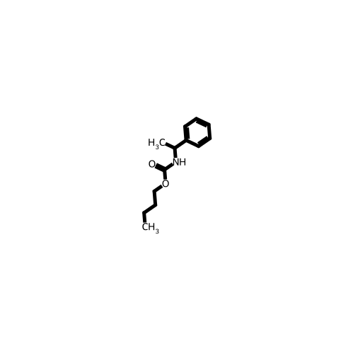 CCCCOC(=O)NC(C)c1ccccc1